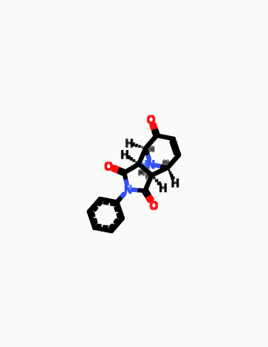 O=C1C=C[C@@H]2N[C@H]1[C@@H]1C(=O)N(c3ccccc3)C(=O)[C@@H]12